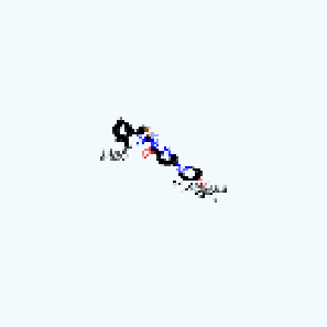 COCc1ccccc1-c1csc(NC(=O)c2ccc(N3CCC(O[Si](C)(C)C(C)(C)C)CC3)cn2)n1